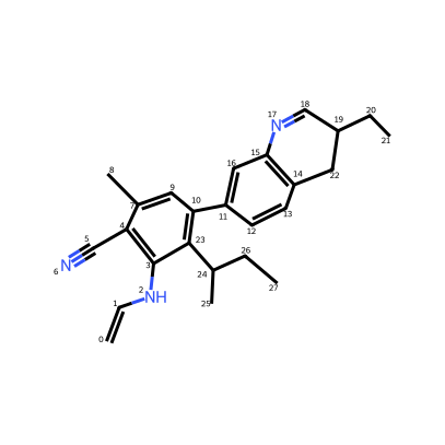 C=CNc1c(C#N)c(C)cc(-c2ccc3c(c2)N=CC(CC)C3)c1C(C)CC